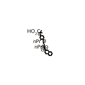 CCCc1cc(OC(C)(C)C(=O)O)ccc1OCCN(CCC)S(=O)(=O)c1ccc2ccccc2c1